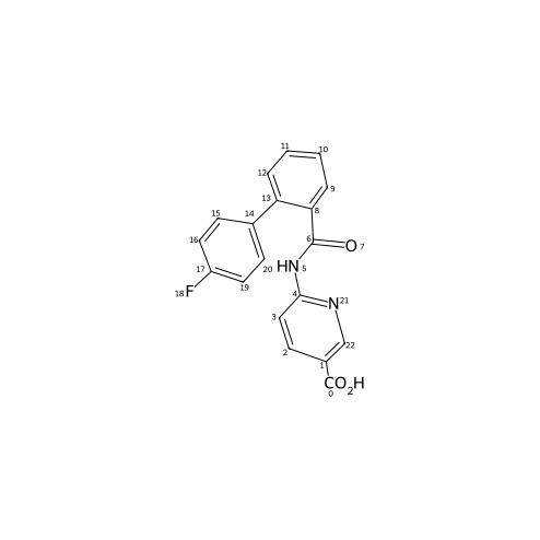 O=C(O)c1ccc(NC(=O)c2ccccc2-c2ccc(F)cc2)nc1